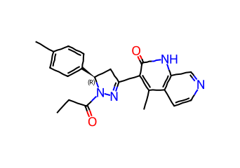 CCC(=O)N1N=C(c2c(C)c3ccncc3[nH]c2=O)C[C@@H]1c1ccc(C)cc1